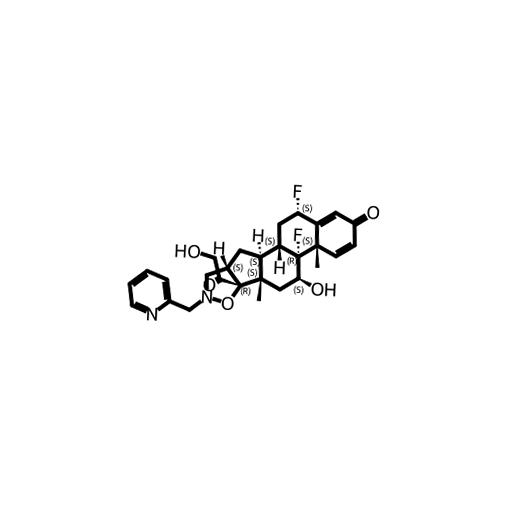 C[C@]12C=CC(=O)C=C1[C@@H](F)C[C@H]1[C@@H]3C[C@H]4CN(Cc5ccccn5)O[C@@]4(C(=O)CO)[C@@]3(C)C[C@H](O)[C@@]12F